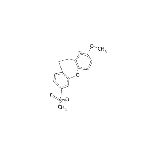 COc1ccc2c(n1)CCc1ccc(S(C)(=O)=O)cc1O2